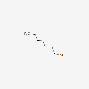 FC(F)(F)CCCCCCS